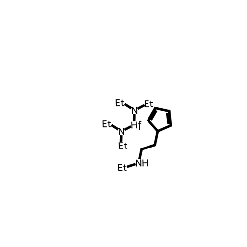 CCNCCC1C=CC=C1.CC[N](CC)[Hf][N](CC)CC